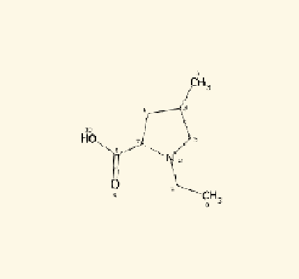 CCN1CC(C)CC1C(=O)O